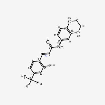 O=C(/C=C/c1ccc(C(F)(F)F)cc1F)Nc1ccc2c(c1)OCCO2